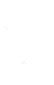 CC(C)C1NCC1CC(C)C1CNC1